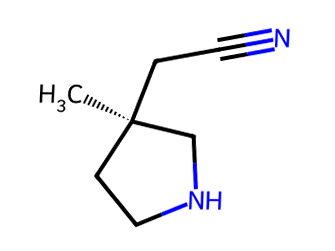 C[C@@]1(CC#N)CCNC1